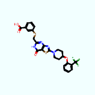 O=C(O)c1cccc(SCc2nc3nc(N4CCC(Oc5ccccc5C(F)(F)F)CC4)sc3c(=O)[nH]2)c1